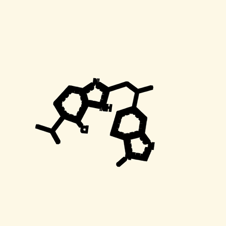 CC(C)c1ccc2nc(CC(C)c3ccc4c(c3)ncn4C)[nH]c2c1Cl